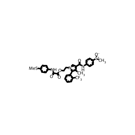 CSc1ccc(NC(=O)C(=O)OCCn2cc(C(=O)Nc3ccc([S+](C)[O-])cc3)c(C)c2-c2ccccc2C(F)(F)F)cc1